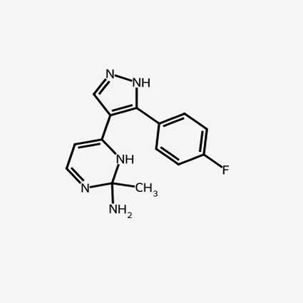 CC1(N)N=CC=C(c2cn[nH]c2-c2ccc(F)cc2)N1